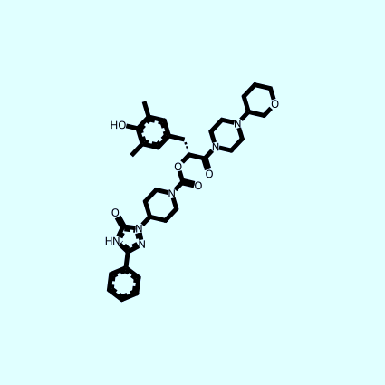 Cc1cc(C[C@@H](OC(=O)N2CCC(n3nc(-c4ccccc4)[nH]c3=O)CC2)C(=O)N2CCN(C3CCCOC3)CC2)cc(C)c1O